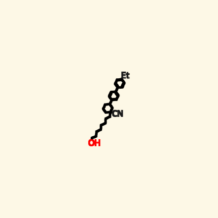 CCc1ccc(-c2ccc(C3CCCC(C#N)(CCCCCCCCO)C3)cc2)cc1